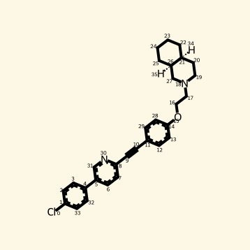 Clc1ccc(-c2ccc(C#Cc3ccc(OCCN4CC[C@@H]5CCCC[C@@H]5C4)cc3)nc2)cc1